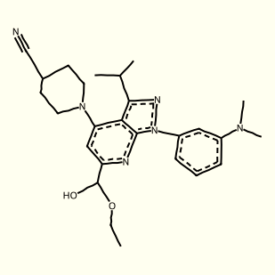 CCOC(O)c1cc(N2CCC(C#N)CC2)c2c(C(C)C)nn(-c3cccc(N(C)C)c3)c2n1